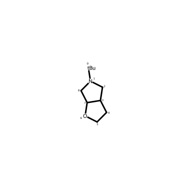 CC(C)(C)N1CC2CCOC2C1